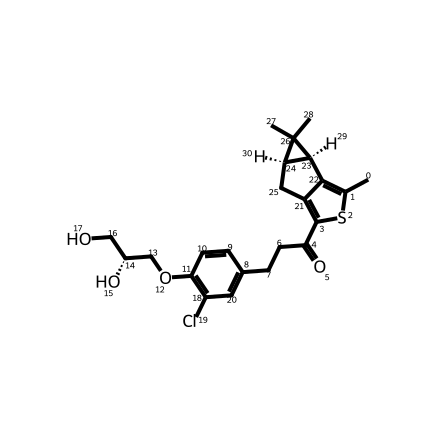 Cc1sc(C(=O)CCc2ccc(OC[C@H](O)CO)c(Cl)c2)c2c1[C@H]1[C@@H](C2)C1(C)C